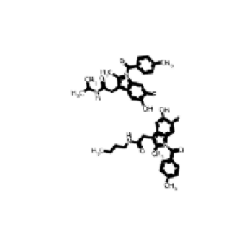 CCCCNC(=O)Cc1c(C)n(C(=O)c2ccc(C)cc2)c2cc(F)c(O)cc12.Cc1ccc(C(=O)n2c(C)c(CC(=O)NC(C)C)c3cc(O)c(F)cc32)cc1